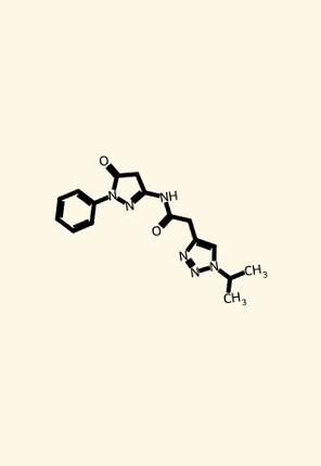 CC(C)n1cc(CC(=O)NC2=NN(c3ccccc3)C(=O)C2)nn1